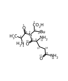 CCC(C)C(C(=O)O)N(C(=O)C(C)N)C(=O)C(N)CCC(N)=O